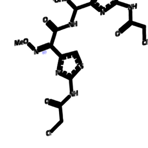 CO/N=C(\C(=O)NC([C]=O)c1csc(NC(=O)CCl)n1)c1csc(NC(=O)CCl)n1